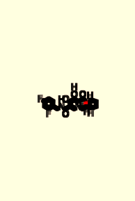 C[C@@H]1[C@H]2CC[C@@H]1N1C(=O)c3c(O)c(=O)c(C(=O)NCc4ccc(F)cc4F)cn3C[C@@H]21